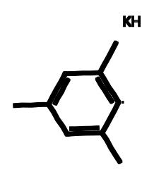 Cc1[c]c(C)cc(C)c1.[KH]